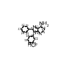 Cl.Nc1ncnc2c1nc(-c1ccccc1)n2-c1ccccc1